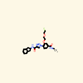 O=C(NCC(F)(F)F)c1ccc(-n2cc(C(=O)NC3Cc4ccccc4C3)nn2)c(OCCOCCF)c1